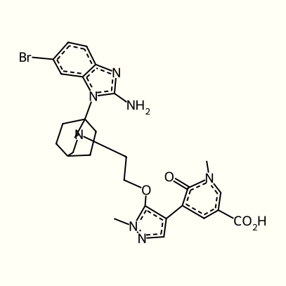 Cn1ncc(-c2cc(C(=O)O)cn(C)c2=O)c1OCCN1CC2CCC(n3c(N)nc4ccc(Br)cc43)(CC2)C1